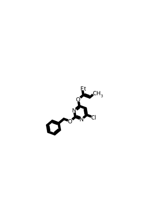 CC=C(CC)Oc1cc(Cl)nc(OCc2ccccc2)n1